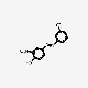 O=[N+]([O-])c1cc(N=Nc2cccc(C(F)(F)F)c2)ccc1O